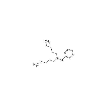 CCCCC[Si](CCCCC)Oc1ccccc1